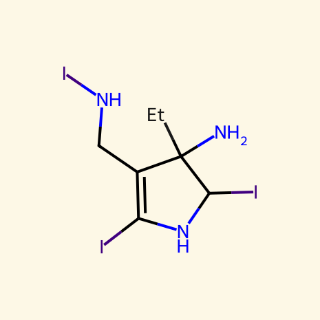 CCC1(N)C(CNI)=C(I)NC1I